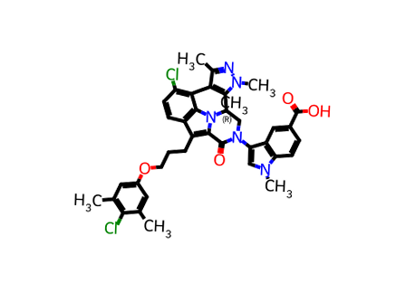 Cc1cc(OCCCc2c3n4c5c(c(Cl)ccc25)-c2c(C)nn(C)c2[C@@]4(C)CN(c2cn(C)c4ccc(C(=O)O)cc24)C3=O)cc(C)c1Cl